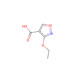 CCOc1nocc1C(=O)O